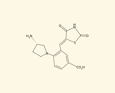 N[C@H]1CCN(c2ccc(C(=O)O)cc2/C=C2\SC(=O)NC2=O)C1